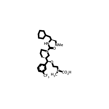 CNC[C@H](CC1CCCCC1)NC(=O)N1CCC[C@@H]([C@@H](OCCN(C)C(=O)O)c2cccc(C(F)(F)F)c2)C1